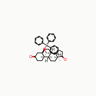 C[C@]12CC[C@H]3[C@@H](CC=C4CC(=O)CC[C@@]43CO[Si](c3ccccc3)(c3ccccc3)c3ccccc3)[C@@H]1CCC2=O